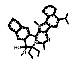 CCC1(CC)[n+]2c(C)nc3c4cc(C(C)C)c5ccccc5c4n(C)c3c2-c2cc3ccccc3cc2C1(O)OC